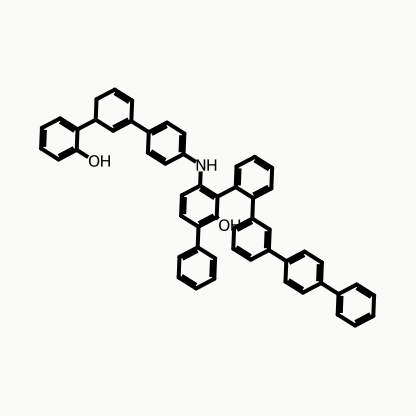 Oc1ccccc1C1C=C(c2ccc(Nc3ccc(-c4ccccc4)c(O)c3-c3ccccc3-c3cccc(-c4ccc(-c5ccccc5)cc4)c3)cc2)C=CC1